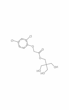 O=C(COc1ccc(Cl)cc1Cl)OCC(CO)(CO)CO